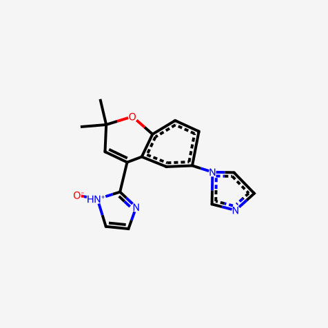 CC1(C)C=C(C2=NC=C[NH+]2[O-])c2cc(-n3ccnc3)ccc2O1